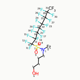 CCN(CCCCO)S(=O)(=O)C(F)(F)C(F)(F)C(F)(F)C(F)(F)C(F)(F)C(F)(F)C(F)(F)C(F)(F)F